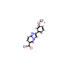 CCC(=O)c1ccc2nc(-c3cccc(OC(F)(F)F)c3)cn2c1